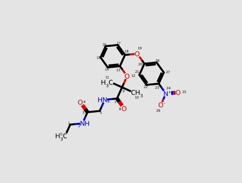 CCNC(=O)CNC(=O)C(C)(C)Oc1ccccc1Oc1ccc([N+](=O)[O-])cc1